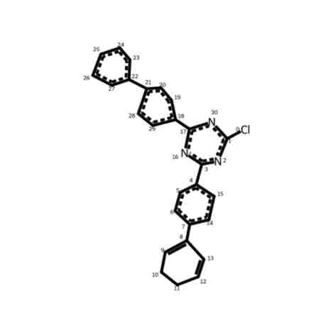 Clc1nc(-c2ccc(C3=CCCC=C3)cc2)nc(-c2ccc(-c3ccccc3)cc2)n1